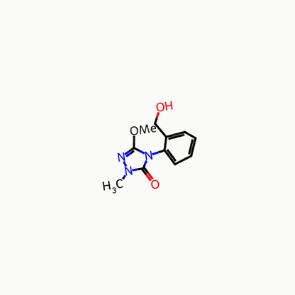 COc1nn(C)c(=O)n1-c1ccccc1CO